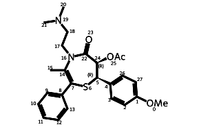 COc1ccc([C@H]2SC(c3ccccc3)=C(C)N(CCN(C)C)C(=O)[C@H]2OC(C)=O)cc1